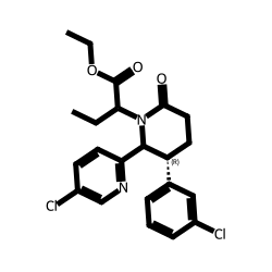 CCOC(=O)C(CC)N1C(=O)CC[C@H](c2cccc(Cl)c2)C1c1ccc(Cl)cn1